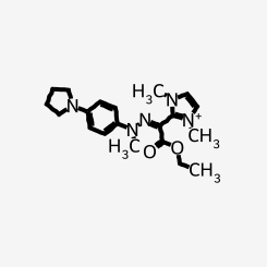 CCOC(=O)/C(=N\N(C)c1ccc(N2CCCC2)cc1)c1n(C)cc[n+]1C